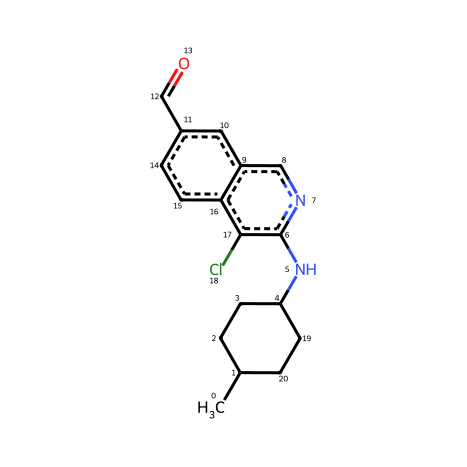 CC1CCC(Nc2ncc3cc(C=O)ccc3c2Cl)CC1